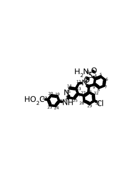 NS(=O)(=O)c1ccccc1C1=NCc2cnc(Nc3ccc(C(=O)O)cc3)cc2-c2ccc(Cl)cc21